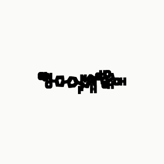 CS(C)(=O)=NC(=O)c1ccc(-c2ccc(-c3nc4cc(O[C@@H]5CO[C@H]6[C@@H]5OC[C@H]6O)[nH]c4cc3F)cc2)cc1